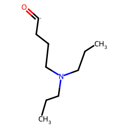 CCCN(CCC)CCC[C]=O